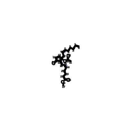 CCCCC/C=C\CC1(OC(C)=O)C=CC(=O)/C1=C/C=C\CCCC(=O)OC